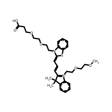 COCCOCC[N+]1=C(/C=C/C=C2\Sc3ccccc3N2CCOCCOCCC(=O)O)C(C)(C)c2ccccc21